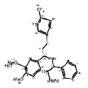 CNC(=O)C(N[C@@H](CCc1ccc(C(F)(F)F)nc1)c1ccc(OC)c(OC)c1)c1ccccc1.Cl